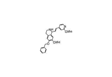 COc1cc(C=CC2NCCc3cc(OCc4ccccc4)c(OC)cc32)ccn1